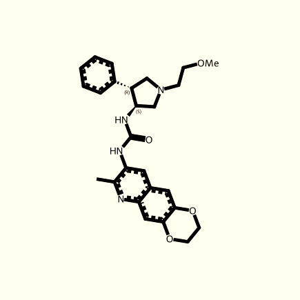 COCCN1C[C@@H](NC(=O)Nc2cc3cc4c(cc3nc2C)OCCO4)[C@H](c2ccccc2)C1